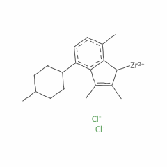 CC1=C(C)[CH]([Zr+2])c2c(C)ccc(C3CCC(C)CC3)c21.[Cl-].[Cl-]